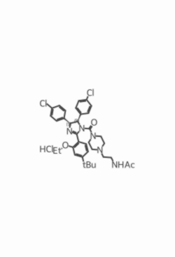 CCOc1cc(C(C)(C)C)ccc1C1=N[C@@H](c2ccc(Cl)cc2)[C@@H](c2ccc(Cl)cc2)N1C(=O)N1CCN(CCNC(C)=O)CC1.Cl